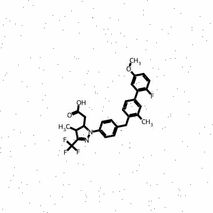 COc1ccc(F)c(-c2ccc(Cc3ccc(N4N=C(C(F)(F)F)C(C)C4CC(=O)O)cc3)c(C)c2)c1